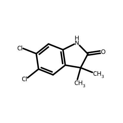 CC1(C)C(=O)Nc2cc(Cl)c(Cl)cc21